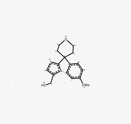 COc1ccc(C2(c3nc(CO)cs3)CCOCC2)cc1